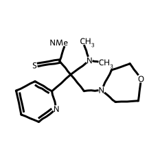 CNC(=S)C(CN1CCOCC1)(c1ccccn1)N(C)C